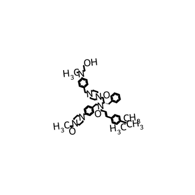 CC(=O)N1CCN(c2ccc(CN(C(=O)C=Cc3ccc(C(C)(C)C)cc3)[C@@H](Cc3ccccc3)C(=O)N3CCN(Cc4ccc(N(C)CCO)cc4)CC3)cc2)CC1